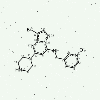 [O-][n+]1cccc(CNc2cc(N3CCNCC3)nc3c(Br)cnn23)c1